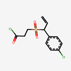 C=CC(c1ccc(Cl)cc1)S(=O)(=O)CCC(=O)Cl